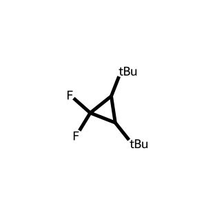 CC(C)(C)C1C(C(C)(C)C)C1(F)F